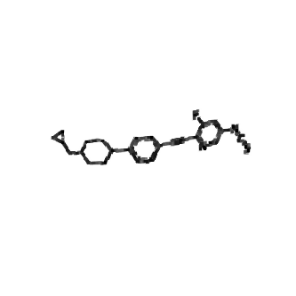 Fc1cc(N=C=S)cnc1C#Cc1ccc(C2CCC(CC3CC3)CC2)cc1